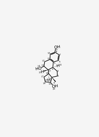 C[C@]12CC[C@@H]3c4ccc(O)cc4CC(O)[C@H]3[C@@H]1CC[C@@H]2O